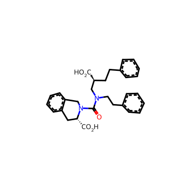 O=C(O)[C@@H](CCc1ccccc1)CN(CCc1ccccc1)C(=O)N1Cc2ccccc2C[C@H]1C(=O)O